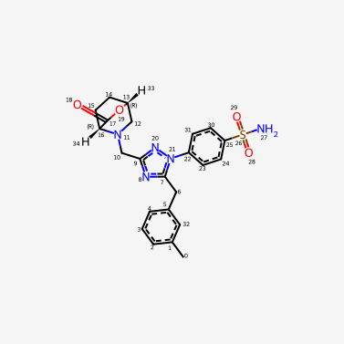 Cc1cccc(Cc2nc(CN3C[C@H]4CC[C@@H]3C(=O)O4)nn2-c2ccc(S(N)(=O)=O)cc2)c1